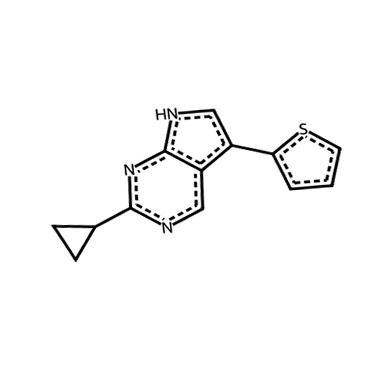 c1csc(-c2c[nH]c3nc(C4CC4)ncc23)c1